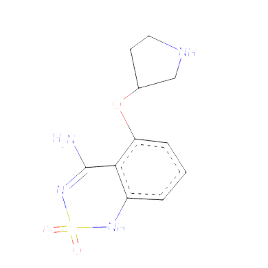 NC1=NS(=O)(=O)Nc2cccc(OC3CCNC3)c21